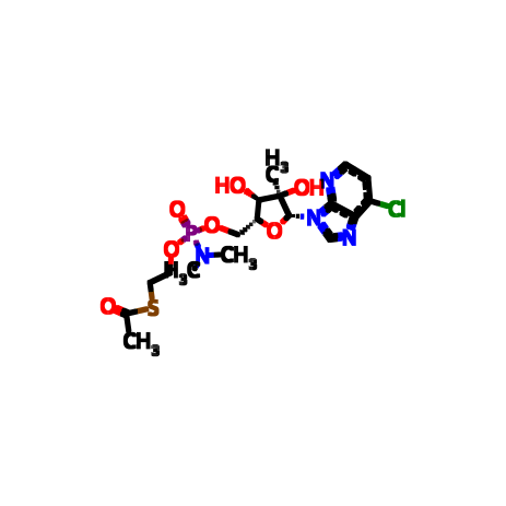 CC(=O)SCCOP(=O)(OC[C@H]1O[C@@H](n2cnc3c(Cl)ccnc32)[C@](C)(O)[C@@H]1O)N(C)C